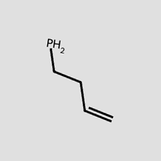 C=CCCP